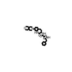 O=C(N[C@H]1CCc2ccc(N3CCC4(CCOCC4)CC3)cc2NC1=O)c1n[nH]c(Cc2ccccc2)n1